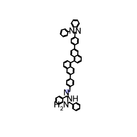 NC(NC(/N=C/c1ccc(-c2ccc3c(-c4cccc5cc(-c6ccc(-c7nc8ccccc8n7-c7ccccc7)cc6)ccc45)cccc3c2)cc1)c1ccccc1)c1ccccc1